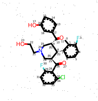 Cc1c(F)cccc1[C@H]1[C@@H](C(=O)c2cccc(O)c2)CN(CCO)C[C@@H]1C(=O)c1c(F)cccc1Cl